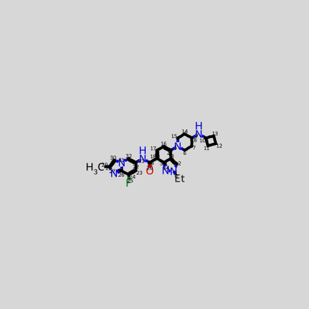 CCn1cc2c(N3CCC(NC4CCC4)CC3)ccc(C(=O)Nc3cc(F)c4nc(C)cn4c3)c2n1